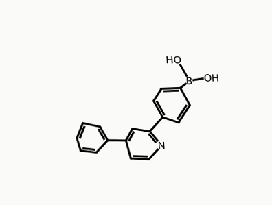 OB(O)c1ccc(-c2cc(-c3ccccc3)ccn2)cc1